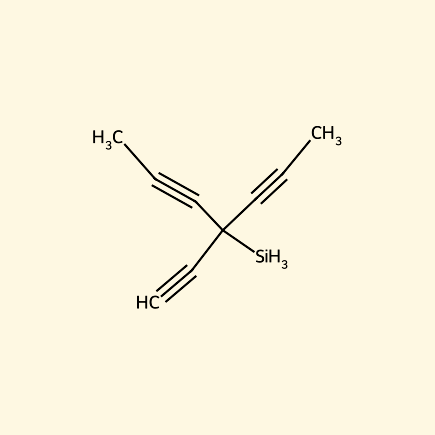 C#CC([SiH3])(C#CC)C#CC